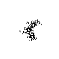 CCN1Cc2c(ccnc2NC(C)c2cc(F)c(B3OC(C)(C)C(C)(C)O3)cc2F)C1=O